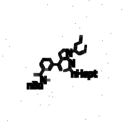 C=C/C=C(\C=C/C)N1CCC(C(=C)c2cccc(C(=C)N(C)CCCC)c2)=C1/N=C(\C)CCCCCCC